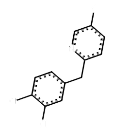 Clc1ccc(Cc2ccc(Cl)c(Cl)c2)nc1